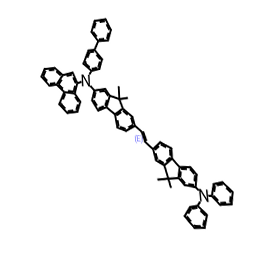 CC1(C)c2cc(/C=C/c3ccc4c(c3)C(C)(C)c3cc(N(c5ccc(-c6ccccc6)cc5)c5cc6ccccc6c6ccccc56)ccc3-4)ccc2-c2ccc(N(c3ccccc3)c3ccccc3)cc21